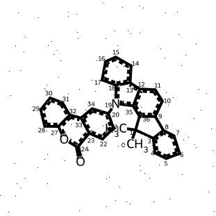 CC1(C)c2ccccc2-c2ccc3c4ccccc4n(-c4ccc5c(=O)oc6ccccc6c5c4)c3c21